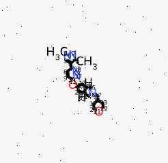 Cc1nn(C)cc1-c1ccc(O[C@@H]2C[C@@H]3CN(CC4CCOCC4)C[C@@H]3C2)nn1